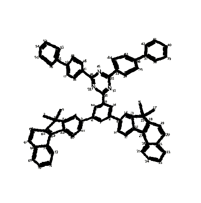 CC1(C)c2cc(-c3cc(-c4ccc5c(c4)C(C)(C)c4ccc6ccccc6c4-5)cc(-c4nc(-c5ccc(-c6ccccc6)cc5)nc(-c5ccc(-c6ccccc6)cc5)n4)c3)ccc2-c2c1ccc1ccccc21